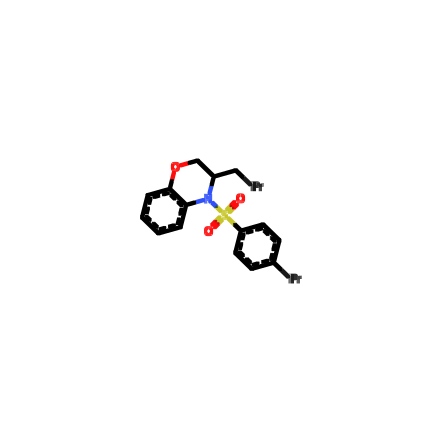 CC(C)CC1COc2ccccc2N1S(=O)(=O)c1ccc(C(C)C)cc1